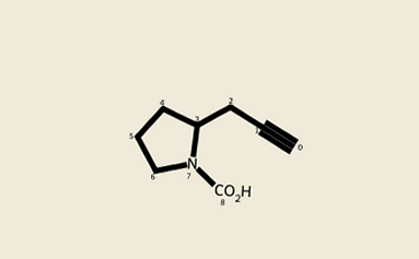 C#CCC1CCCN1C(=O)O